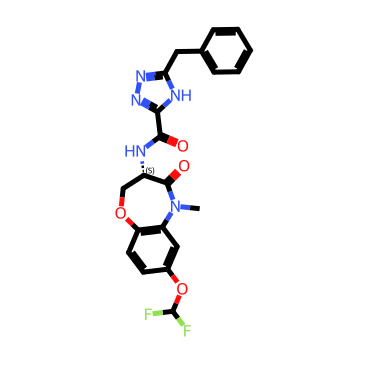 CN1C(=O)[C@@H](NC(=O)c2nnc(Cc3ccccc3)[nH]2)COc2ccc(OC(F)F)cc21